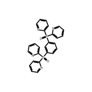 O=P(c1cccc(P(=O)(c2ccccn2)c2ccccn2)c1)(c1ccccn1)c1ccccn1